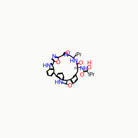 CC(C)C1NC(=O)[C@@H](NC(=O)[C@@H](O)C(C)C)Cc2ccc3c(c2)C2c4cccc(c4NC2O3)-c2cccc3[nH]cc(c23)-c2cnc(o2)-c2coc1n2